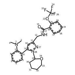 CN(C)c1ccccc1-c1cc(CNC(=O)c2ccccc2OC(F)(F)F)nn1C1CCCCO1